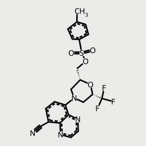 Cc1ccc(S(=O)(=O)OC[C@H]2CN(c3ccc(C#N)c4nccnc34)C[C@@H](C(F)(F)F)O2)cc1